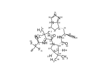 CC(C)(C)[C@H](NC(=O)C(F)(F)F)C(=O)N1C[C@H]2[C@@H]([C@H]1C(=O)N[C@H](C#N)C[C@@H]1CCn3cnnc31)C2(C)C